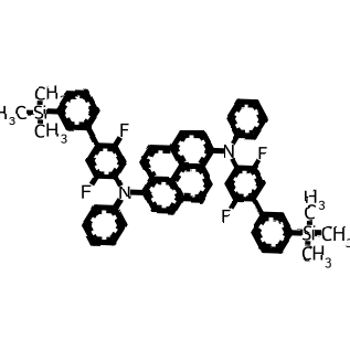 C[Si](C)(C)c1cccc(-c2cc(F)c(N(c3ccccc3)c3ccc4ccc5c(N(c6ccccc6)c6cc(F)c(-c7cccc([Si](C)(C)C)c7)cc6F)ccc6ccc3c4c65)cc2F)c1